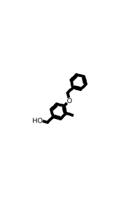 Cc1cc(CO)ccc1OCc1ccccc1